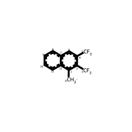 [CH2]c1c(C(F)(F)F)c(C(F)(F)F)cc2ccccc12